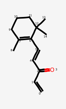 C=CC(=O)C=CC1=C(C)CCCC1(C)C